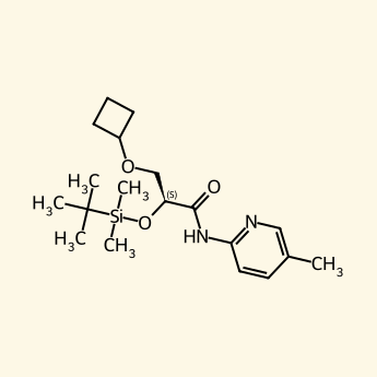 Cc1ccc(NC(=O)[C@H](COC2CCC2)O[Si](C)(C)C(C)(C)C)nc1